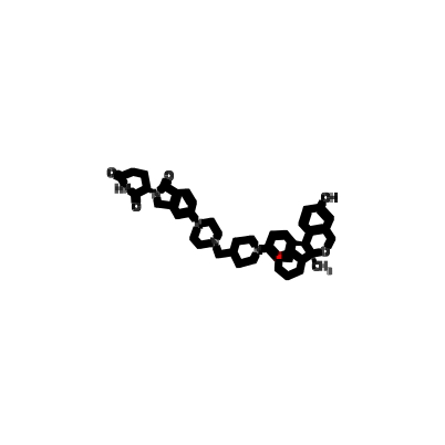 C[C@@]1(C2CCCCC2)OCc2cc(O)ccc2[C@@H]1c1ccc(N2CCC(CN3CCN(c4ccc5c(c4)CN([C@H]4CCC(=O)NC4=O)C5=O)CC3)CC2)cc1